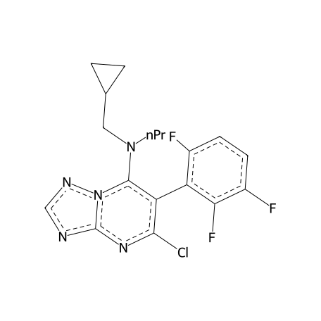 CCCN(CC1CC1)c1c(-c2c(F)ccc(F)c2F)c(Cl)nc2ncnn12